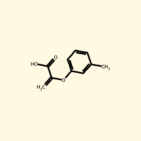 C=C(Oc1cccc(C)c1)C(=O)O